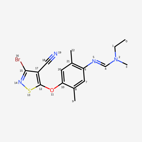 CCN(C)C=Nc1cc(C)c(Oc2snc(Br)c2C#N)cc1C